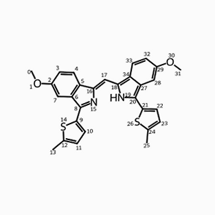 COc1ccc2c(c1)C(c1ccc(C)s1)=N/C2=C\c1[nH]c(-c2ccc(C)s2)c2cc(OC)ccc12